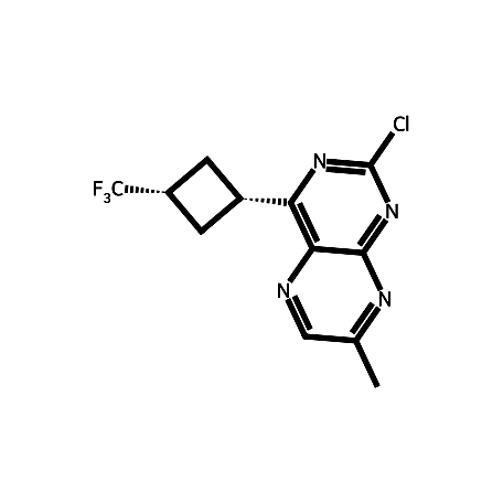 Cc1cnc2c(n1)nc(Cl)nc2[C@H]1C[C@@H](C(F)(F)F)C1